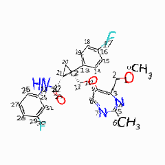 COCc1nc(C)ncc1OC[C@@]1(c2ccc(F)cc2)C[C@H]1C(=O)Nc1cccc(F)c1